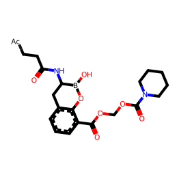 CC(=O)CCC(=O)NC1Cc2cccc(C(=O)OCOC(=O)N3CCCCC3)c2OB1O